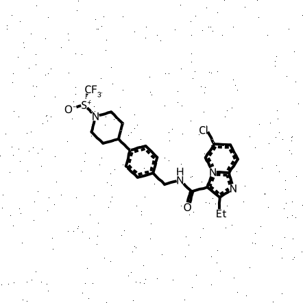 CCc1nc2ccc(Cl)cn2c1C(=O)NCc1ccc(C2CCN([S@+]([O-])C(F)(F)F)CC2)cc1